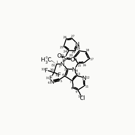 C[C@H](N(c1c(C#N)c2cc(Cl)cnc2n1-c1ccccc1)S(=O)(=O)c1cccnc1)C(F)(F)F